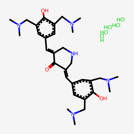 CN(C)Cc1cc(C=C2CNCC(=Cc3cc(CN(C)C)c(O)c(CN(C)C)c3)C2=O)cc(CN(C)C)c1O.Cl.Cl.Cl.Cl.Cl